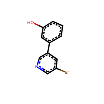 Oc1cccc(-c2cncc(Br)c2)c1